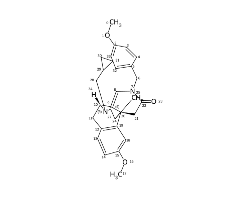 COc1ccc(CN2C=C3[C@H]4Cc5ccc(OC)cc5[C@]3(CC2=O)C(C)CN4CC2CC2)cc1